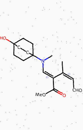 COC(=O)C(=C/N(C)C12CCC(O)(CC1)CC2)/C(C)=C\C=O